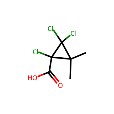 CC1(C)C(Cl)(Cl)C1(Cl)C(=O)O